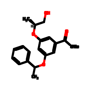 COC(=O)c1cc(OC(C)c2ccccc2)cc(O[C@@H](C)CO)c1